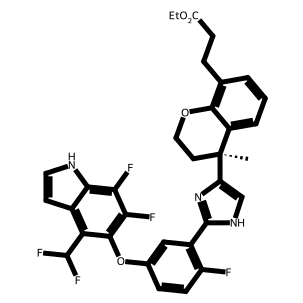 CCOC(=O)CCc1cccc2c1OCC[C@]2(C)c1c[nH]c(-c2cc(Oc3c(F)c(F)c4[nH]ccc4c3C(F)F)ccc2F)n1